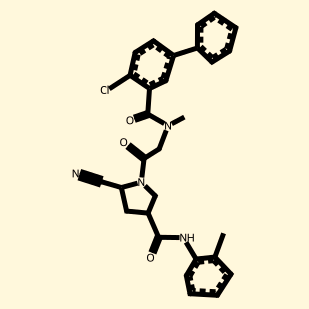 Cc1ccccc1NC(=O)C1CC(C#N)N(C(=O)CN(C)C(=O)c2cc(-c3ccccc3)ccc2Cl)C1